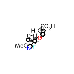 COc1cc(-c2ccc(COc3ccc4c(c3)[C@](C)(CC(=O)O)CC4)cc2[C@H]2CCCC2(C)C)c(F)cn1